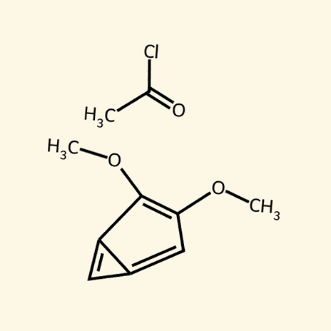 CC(=O)Cl.COc1cc2cc-2c1OC